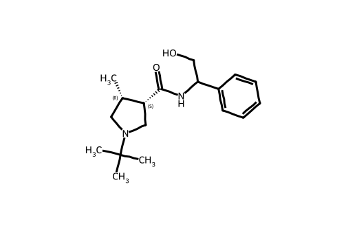 C[C@H]1CN(C(C)(C)C)C[C@H]1C(=O)NC(CO)c1ccccc1